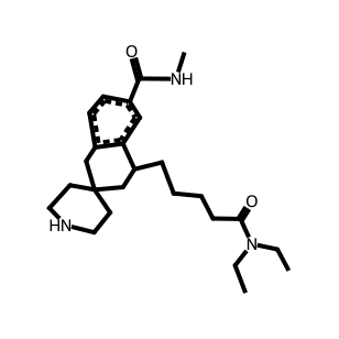 CCN(CC)C(=O)CCCCC1CC2(CCNCC2)Cc2ccc(C(=O)NC)cc21